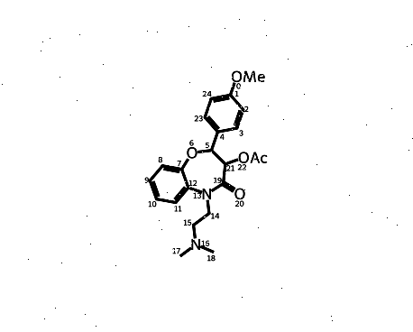 COc1ccc(C2Oc3ccccc3N(CCN(C)C)C(=O)C2OC(C)=O)cc1